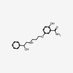 NC(=O)c1cc(OCCCNCC(O)c2ccccc2)ccc1O